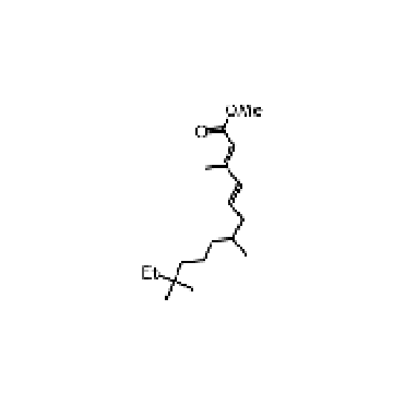 CCC(C)(C)CCCC(C)C/C=C/C(C)=C/C(=O)OC